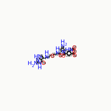 Nc1nc2[nH]cc(CNCCOCCNC(=O)[C@@H]3C[C@H](N)CN3C(=O)c3ccc4c(=O)oc(=O)[nH]c4c3)c2c(=O)[nH]1